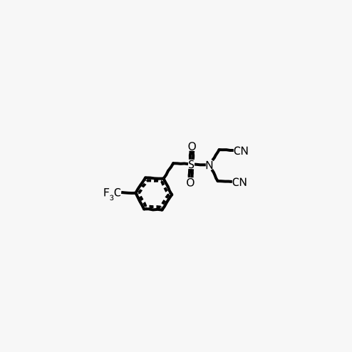 N#CCN(CC#N)S(=O)(=O)Cc1cccc(C(F)(F)F)c1